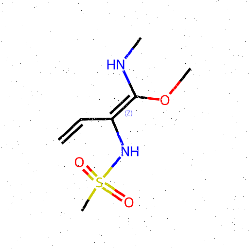 C=C/C(NS(C)(=O)=O)=C(\NC)OC